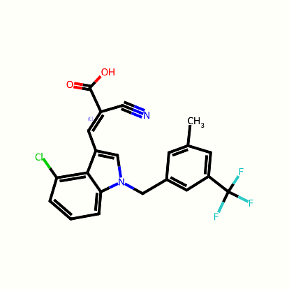 Cc1cc(Cn2cc(/C=C(\C#N)C(=O)O)c3c(Cl)cccc32)cc(C(F)(F)F)c1